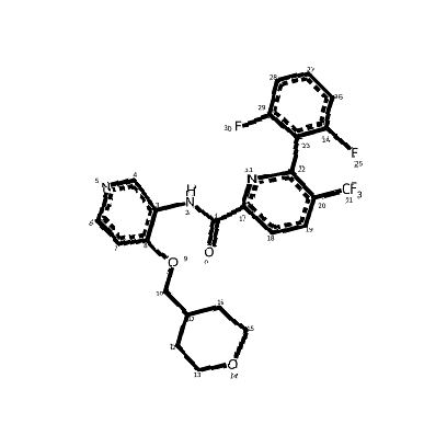 O=C(Nc1cnccc1OCC1CCOCC1)c1ccc(C(F)(F)F)c(-c2c(F)cccc2F)n1